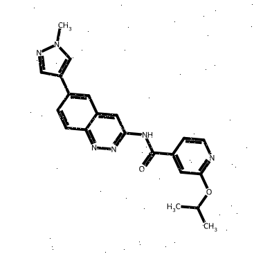 CC(C)Oc1cc(C(=O)Nc2cc3cc(-c4cnn(C)c4)ccc3nn2)ccn1